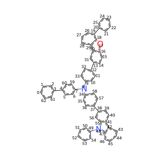 c1ccc(-c2ccc(N(c3ccc(-c4ccc5oc6c(-c7ccccc7)cccc6c5c4)cc3)c3ccc(-c4ccc5c6ccccc6n(-c6ccccc6)c5c4)cc3)cc2)cc1